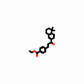 CCOC(=O)c1ccc(C=CC(=O)c2ccc3c(c2)CCCC3(C)C)cc1